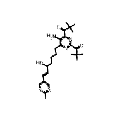 Cc1ncc(C=CC(O)CCCCc2nc(C(=O)C(C)(C)C)nc(C(=O)C(C)(C)C)c2N)cn1